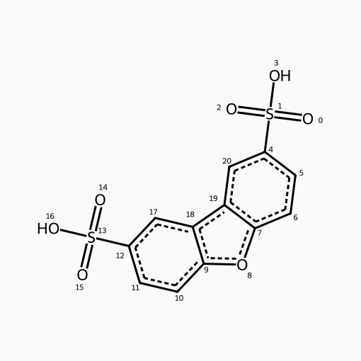 O=S(=O)(O)c1ccc2oc3ccc(S(=O)(=O)O)cc3c2c1